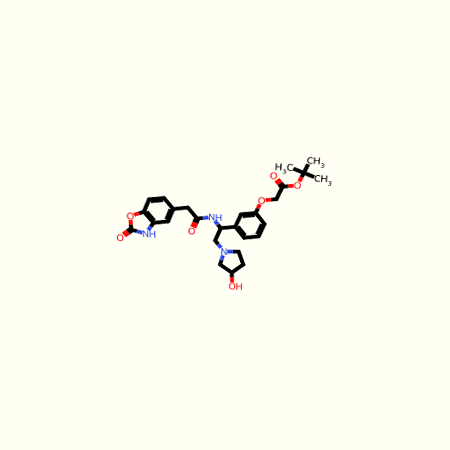 CC(C)(C)OC(=O)COc1cccc(C(CN2CCC(O)C2)NC(=O)Cc2ccc3oc(=O)[nH]c3c2)c1